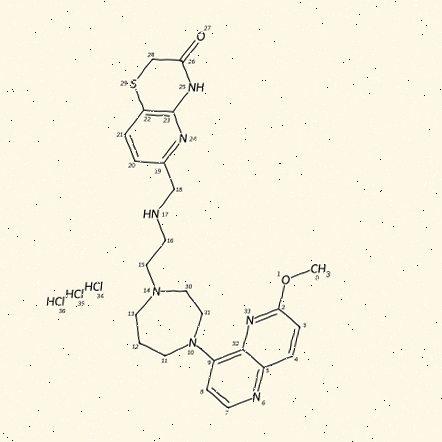 COc1ccc2nccc(N3CCCN(CCNCc4ccc5c(n4)NC(=O)CS5)CC3)c2n1.Cl.Cl.Cl